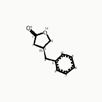 O=C1C[C@H](Cc2ccccc2)CO1